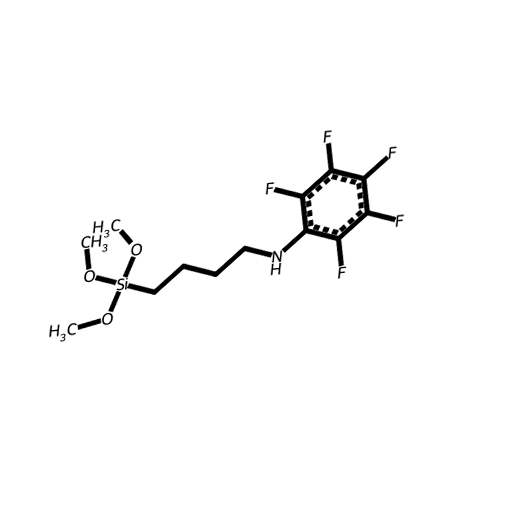 CO[Si](CCCCNc1c(F)c(F)c(F)c(F)c1F)(OC)OC